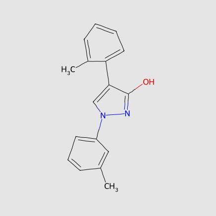 Cc1cccc(-n2cc(-c3ccccc3C)c(O)n2)c1